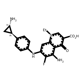 CCn1cc(C(=O)O)c(=O)c2c(N)c(F)c(Nc3ccc([C@H]4C[C@@H]4N)cc3)cc21